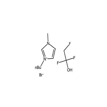 CCCC[n+]1ccn(C)c1.OC(F)(F)CF.[Br-]